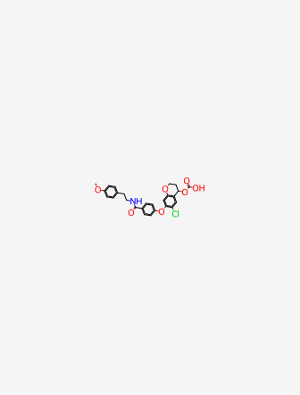 COc1ccc(CCNC(=O)c2ccc(Oc3cc4c(cc3Cl)C(OC(=O)O)CCO4)cc2)cc1